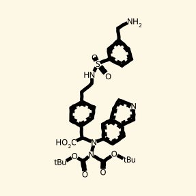 CC(C)(C)OC(=O)N(C(=O)OC(C)(C)C)N(c1ccc2cnccc2c1)C(C(=O)O)c1ccc(CCNS(=O)(=O)c2cccc(CN)c2)cc1